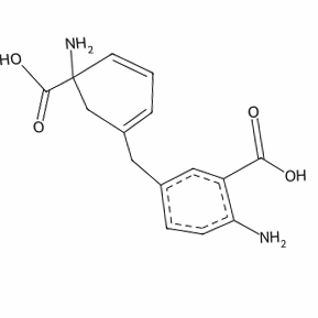 Nc1ccc(CC2=CC=CC(N)(C(=O)O)C2)cc1C(=O)O